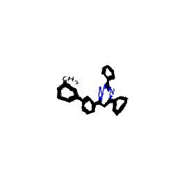 CC1=CC(c2cccc(-c3cc(-c4ccccc4)nc(-c4ccccc4)n3)c2)=CCC1